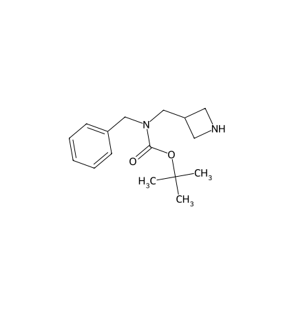 CC(C)(C)OC(=O)N(Cc1ccccc1)CC1CNC1